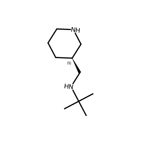 CC(C)(C)NC[C@H]1CCCNC1